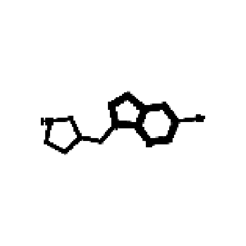 Brc1cnc2c(ccn2CC2CCNC2)c1